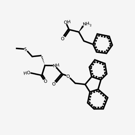 CSCC[C@H](NC(=O)OCC1c2ccccc2-c2ccccc21)C(=O)O.N[C@@H](Cc1ccccc1)C(=O)O